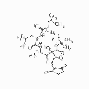 CC(C)C[C@H](NC(=O)[C@@H](N)CC(C)C)C(=O)N[C@@H](C)C(=O)C(O)(C(=O)ON1C(=O)CCC1=O)C(=O)OC(C)(C)C